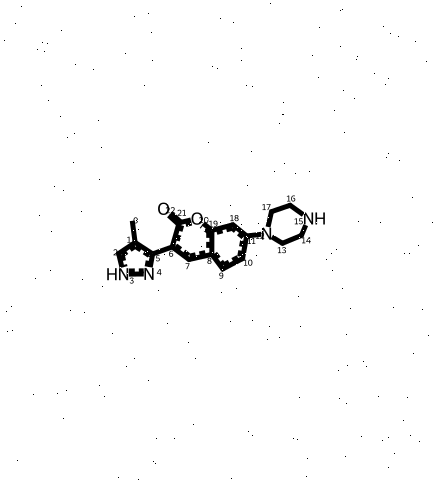 Cc1c[nH]nc1-c1cc2ccc(N3CCNCC3)cc2oc1=O